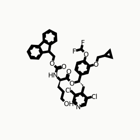 O=C(N[C@H](CCCO)C(=O)O[C@@H](Cc1c(Cl)cncc1Cl)c1ccc(OC(F)F)c(OCC2CC2)c1)OCC1c2ccccc2-c2ccccc21